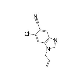 C=CCn1cnc2cc(C#N)c(Cl)cc21